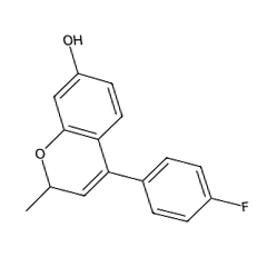 CC1C=C(c2ccc(F)cc2)c2ccc(O)cc2O1